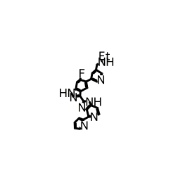 CCNCc1cncc(-c2cc3c(-c4nc5c(-c6ccccn6)nccc5[nH]4)n[nH]c3cc2F)c1